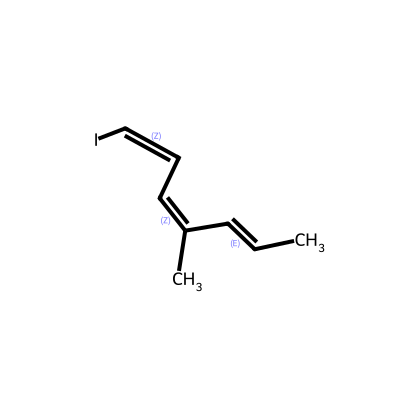 C/C=C/C(C)=C\C=C/I